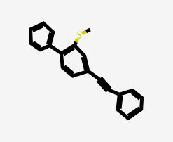 CSc1cc(C#Cc2ccccc2)ccc1-c1ccccc1